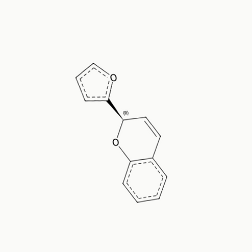 C1=C[C@H](c2ccco2)Oc2ccccc21